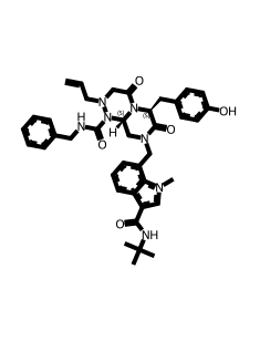 C=CCN1CC(=O)N2[C@@H](Cc3ccc(O)cc3)C(=O)N(Cc3cccc4c(C(=O)NC(C)(C)C)cn(C)c34)C[C@@H]2N1C(=O)NCc1ccccc1